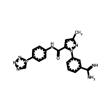 Cc1cc(C(=O)Nc2ccc(-n3cnnn3)cc2)n(-c2cccc(C(=N)N)c2)n1